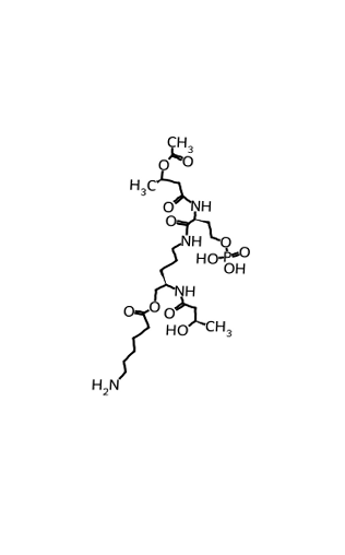 CC(=O)O[C@H](C)CC(=O)N[C@@H](CCOP(=O)(O)O)C(=O)NCCC[C@H](COC(=O)CCCCCN)NC(=O)C[C@@H](C)O